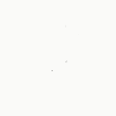 O=C1[CH]c2c(cccc2-c2nc3ccccc3[nH]2)ON1